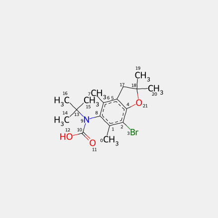 Cc1c(Br)c2c(c(C)c1N(C(=O)O)C(C)(C)C)CC(C)(C)O2